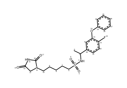 CC(NS(=O)(=O)CCCCCN1CC(=O)NC1=O)c1ccc(F)c(Oc2ccccc2)c1